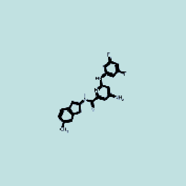 Cc1ccc2c(c1)CC(NC(=O)c1cc(N)cc(Nc3cc(F)cc(F)c3)n1)C2